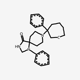 O=C1NCN(c2ccccc2)C12CCN(C1(c3ccccc3)CCCCCC1)CC2